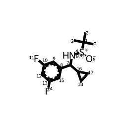 CC(C)(C)[S@+]([O-])NC(c1cc(F)cc(F)c1)C1CC1